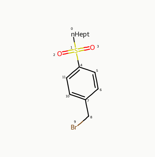 CCCCCCCS(=O)(=O)c1ccc(CBr)cc1